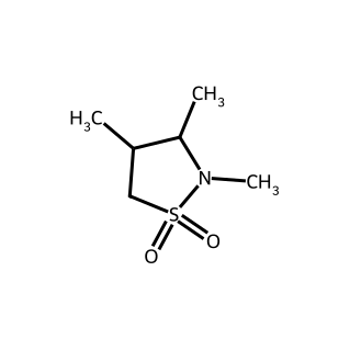 CC1CS(=O)(=O)N(C)C1C